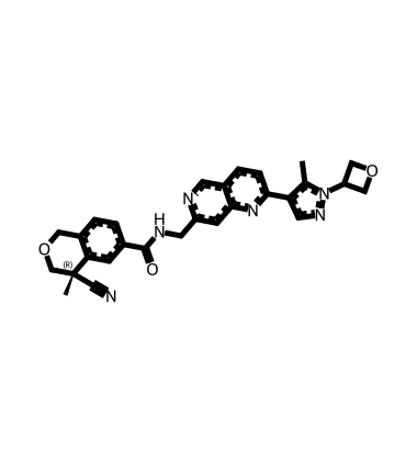 Cc1c(-c2ccc3cnc(CNC(=O)c4ccc5c(c4)[C@](C)(C#N)COC5)cc3n2)cnn1C1COC1